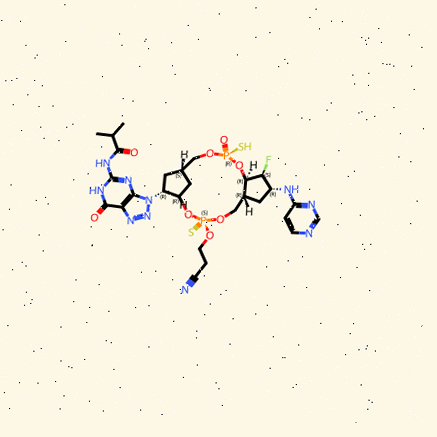 CC(C)C(=O)Nc1nc2c(nnn2[C@@H]2C[C@@H]3CO[P@@](=O)(S)O[C@@H]4[C@@H](CO[P@@](=S)(OCCC#N)O[C@@H]2C3)C[C@@H](Nc2ccncn2)[C@@H]4F)c(=O)[nH]1